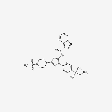 CC(C)(CN)c1ccc(-n2nc(C3CCN(S(C)(=O)=O)CC3)cc2NC(=O)c2cnn3cccnc23)nc1